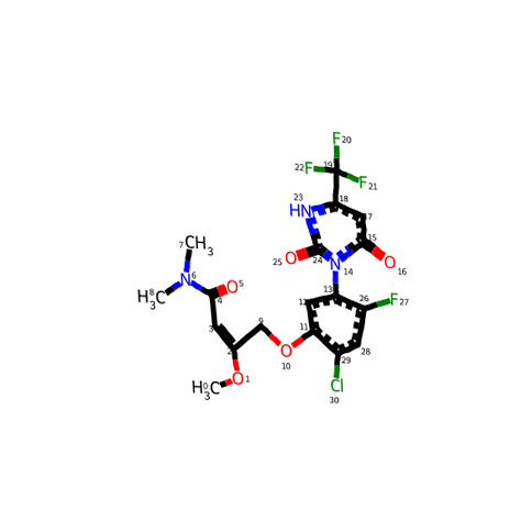 CO/C(=C/C(=O)N(C)C)COc1cc(-n2c(=O)cc(C(F)(F)F)[nH]c2=O)c(F)cc1Cl